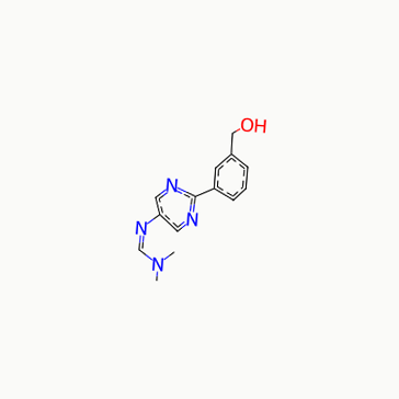 CN(C)/C=N\c1cnc(-c2cccc(CO)c2)nc1